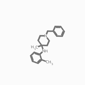 Cc1ccccc1NC1(C)CCN(Cc2ccccc2)CC1